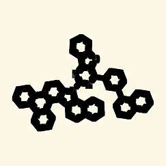 c1cc(-c2cccc3ccccc23)cc(-c2nc(-n3c4ccc5c6ccccc6c6ccccc6c5c4c4ccc5ccccc5c43)nc3c2oc2ccccc23)c1